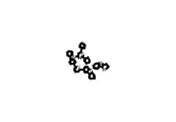 c1ccc(-c2cc(-n3c4ccccc4c4ccc(-c5cccc(-c6ccc7c(c6)c6ccccc6n7-c6ccc7sc8cccnc8c7c6)n5)cc43)nc(-c3ccccc3)n2)cc1